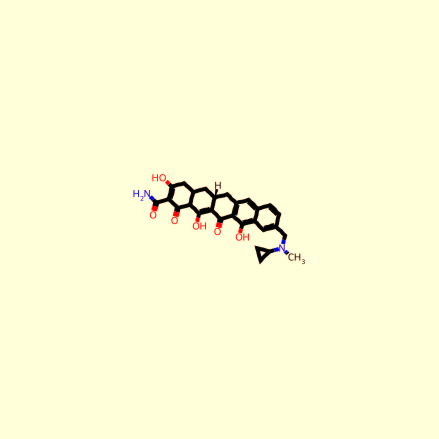 CN(Cc1ccc2cc3c(c(O)c2c1)C(=O)C1=C(O)C2C(=O)C(C(N)=O)=C(O)CC2C[C@@H]1C3)C1CC1